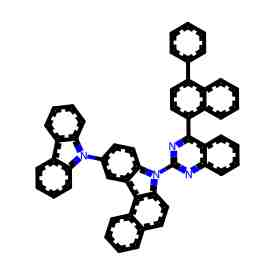 c1ccc(-c2ccc(-c3nc(-n4c5ccc(-n6c7ccccc7c7ccccc76)cc5c5c6ccccc6ccc54)nc4ccccc34)c3ccccc23)cc1